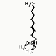 CCCCCCC=CCO[SiH](OC)OC